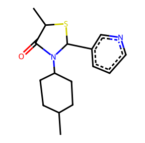 CC1CCC(N2C(=O)C(C)SC2c2cccnc2)CC1